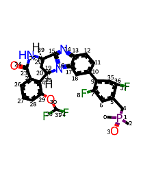 CP(C)(=O)Cc1cc(F)c(-c2ccc3nc4n(c3c2)[C@@H]2C[C@H]4NC(=O)c3cccc(OC(F)F)c32)cc1F